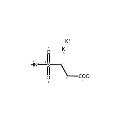 [K+].[K+].[NH-]S(=O)(=O)CCC(=O)[O-]